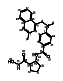 Cc1cc(CN(C)c2ccc(C(=O)N[C@H]3CCC[C@H]3C(=O)NO)cc2)c2ccccc2n1